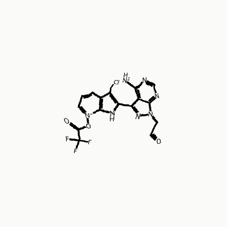 Nc1ncnc2c1c(-c1[nH]c3c(ccc[n+]3OC(=O)C(F)(F)F)c1Cl)nn2CC=O